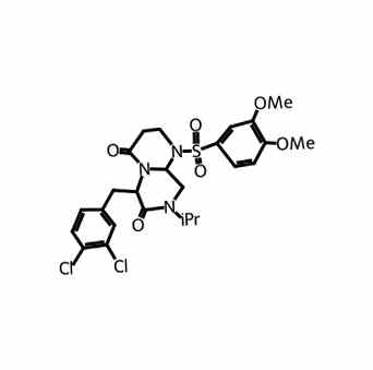 COc1ccc(S(=O)(=O)N2CCC(=O)N3C(Cc4ccc(Cl)c(Cl)c4)C(=O)N(C(C)C)CC32)cc1OC